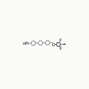 C#Cc1c(F)cc(OCC2CCC(C3CCC(C4CCC(CCC)CC4)CC3)CC2)cc1F